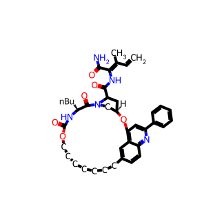 C=C/C(C)=C(\NC(=O)C1C[C@@H]2CN1C(=O)[C@H](CCCC)NC(=O)OCCCCCCCc1ccc3nc(-c4ccccc4)cc(c3c1)O2)C(N)=O